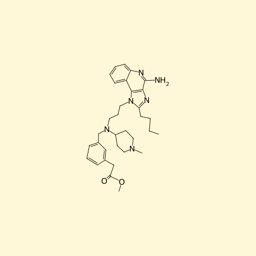 CCCCc1nc2c(N)nc3ccccc3c2n1CCCN(Cc1cccc(CC(=O)OC)c1)C1CCN(C)CC1